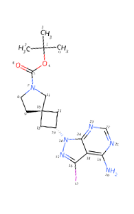 CC(C)(C)OC(=O)N1CC[C@]2(C1)C[C@@H](n1nc(I)c3c(N)ncnc31)C2